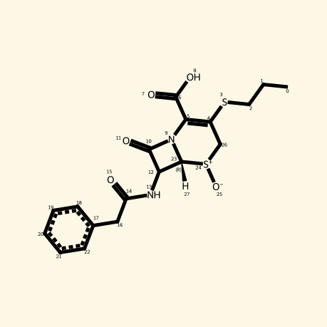 CCCSC1=C(C(=O)O)N2C(=O)C(NC(=O)Cc3ccccc3)[C@H]2[S+]([O-])C1